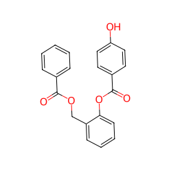 O=C(OCc1ccccc1OC(=O)c1ccc(O)cc1)c1ccccc1